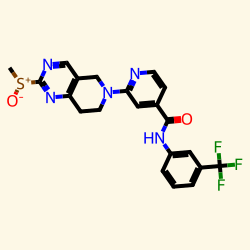 C[S+]([O-])c1ncc2c(n1)CCN(c1cc(C(=O)Nc3cccc(C(F)(F)F)c3)ccn1)C2